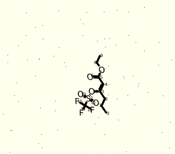 CCCC(=CC(=O)OCC)OS(=O)(=O)C(F)(F)F